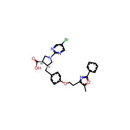 Cc1oc(-c2ccccc2)nc1CCOc1ccc(C[C@@H]2CN(c3ncc(Br)cn3)C[C@@H]2C(=O)O)cc1